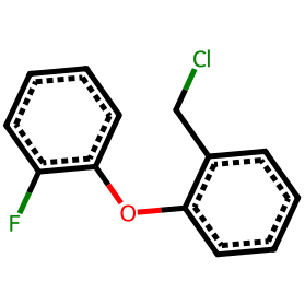 Fc1ccccc1Oc1ccccc1CCl